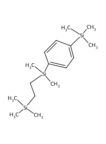 C[Si](C)(C)CC[Si](C)(C)c1ccc([Si](C)(C)C)cc1